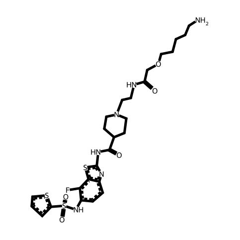 NCCCCCOCC(=O)NCCN1CCC(C(=O)Nc2nc3ccc(NS(=O)(=O)c4cccs4)c(F)c3s2)CC1